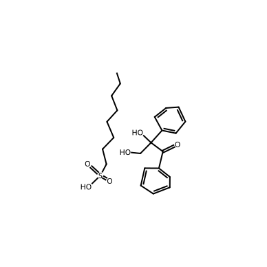 CCCCCCCCS(=O)(=O)O.O=C(c1ccccc1)C(O)(CO)c1ccccc1